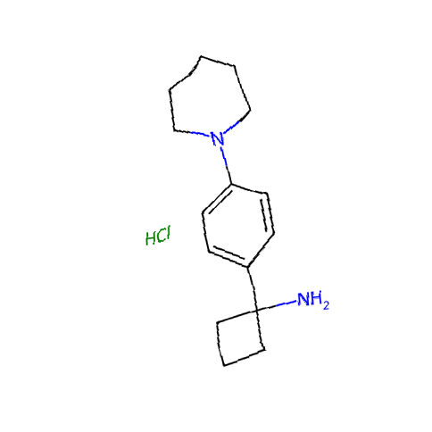 Cl.NC1(c2ccc(N3CCCCC3)cc2)CCC1